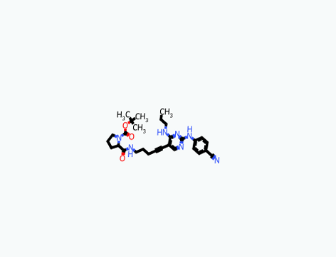 CCCNc1nc(Nc2ccc(C#N)cc2)ncc1C#CCCCNC(=O)C1CCCN1C(=O)OC(C)(C)C